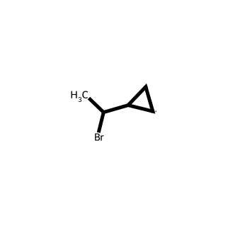 CC(Br)C1[CH]C1